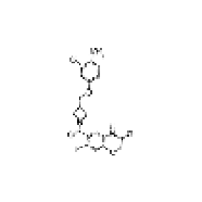 Nc1ccc(OCC2CN(C(=O)c3cc4c(cc3F)OCC(=O)N4)C2)cc1Cl